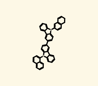 C1=Cc2cc(-n3c4ccccc4c4cc(-c5ccc6c(c5)c5ccccc5n6-c5cccc6ccccc56)ccc43)ccc2CC1